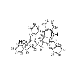 CC(c1cc(Cc2ccccc2)c(O)c(Cc2ccccc2)c1)c1cc(Cc2ccccc2)c(O)c(Cc2ccccc2)c1